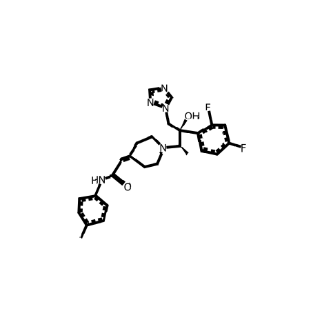 Cc1ccc(NC(=O)C=C2CCN([C@H](C)[C@](O)(Cn3cncn3)c3ccc(F)cc3F)CC2)cc1